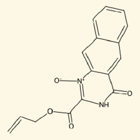 C=CCOC(=O)c1[nH]c(=O)c2cc3ccccc3cc2[n+]1[O-]